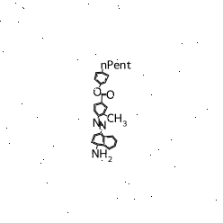 CCCCCc1ccc(OC(=O)c2ccc(N=Nc3ccc(N)c4ccccc34)c(C)c2)cc1